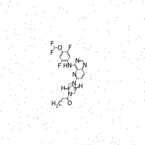 C=CC(=O)N1C[C@@H]2C[C@H]1CN2c1ccc2ncnc(Nc3cc(F)c(OC(F)F)cc3F)c2n1